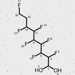 OC(O)C(F)C(F)C(F)C(F)C(F)C(F)CCF